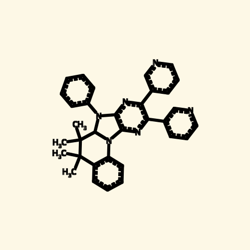 CC1(C)c2ccccc2N2c3nc(-c4cccnc4)c(-c4cccnc4)nc3N(c3ccccc3)C2C1(C)C